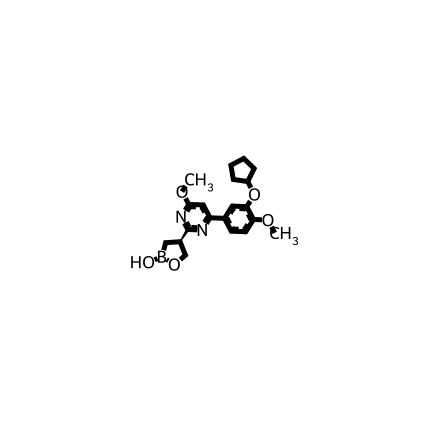 COc1cc(-c2ccc(OC)c(OC3CCCC3)c2)nc([C@H]2COB(O)C2)n1